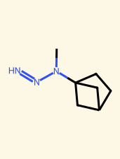 CN(N=N)C12CCC(C1)C2